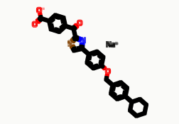 O=C([O-])c1ccc(C(=O)c2nc(-c3ccc(OCc4ccc(C5CCCCC5)cc4)cc3)cs2)cc1.[Na+]